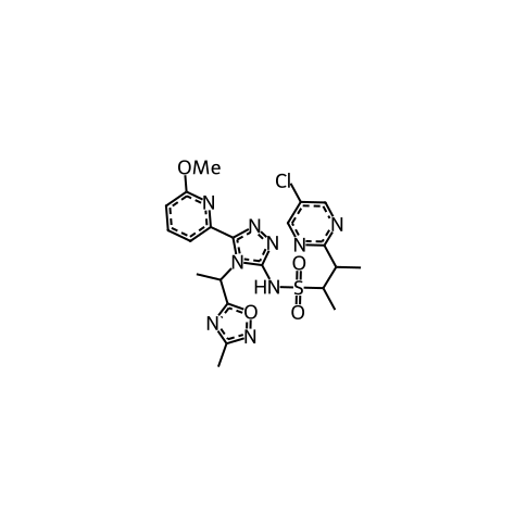 COc1cccc(-c2nnc(NS(=O)(=O)C(C)C(C)c3ncc(Cl)cn3)n2C(C)c2nc(C)no2)n1